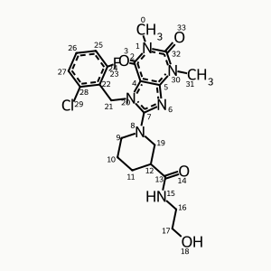 Cn1c(=O)c2c(nc(N3CCCC(C(=O)NCCO)C3)n2Cc2c(F)cccc2Cl)n(C)c1=O